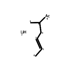 CC=CCC(C)C(C)=O.[LiH]